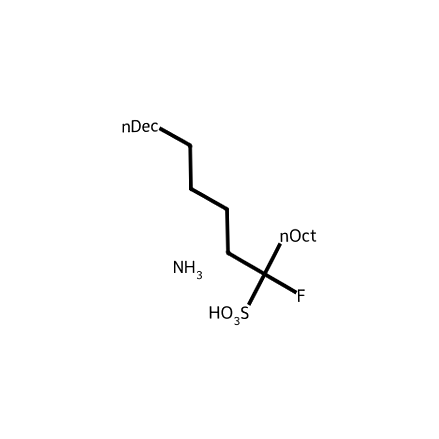 CCCCCCCCCCCCCCC(F)(CCCCCCCC)S(=O)(=O)O.N